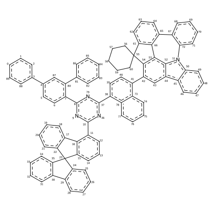 c1ccc(-c2ccc(-c3nc(-c4cccc5c4-c4ccccc4C54c5ccccc5-c5ccccc54)nc(-c4ccc(-c5cc6c7ccccc7n7c6c6c5C5(CCCCC5)c5cccc(c5-6)-c5ccccc5-7)c5ccccc45)n3)c(-c3ccccc3)c2)cc1